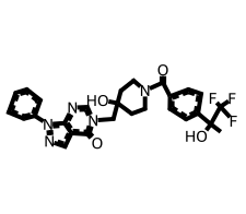 CC(O)(c1ccc(C(=O)N2CCC(O)(Cn3cnc4c(cnn4-c4ccccc4)c3=O)CC2)cc1)C(F)(F)F